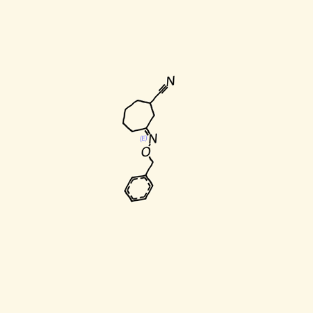 N#CC1CCCC/C(=N\OCc2ccccc2)C1